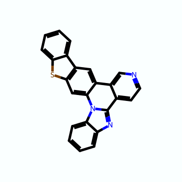 c1ccc2c(c1)nc1c3ccncc3c3cc4c(cc3n21)sc1ccccc14